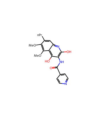 CCCc1cc2nc(O)c(NC(=O)c3ccncc3)c(O)c2c(OC)c1OC